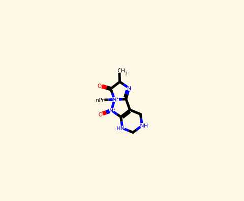 CCC[N+]12C(=O)C(C)N=C1C1=C(NCNC1)[N+]2=O